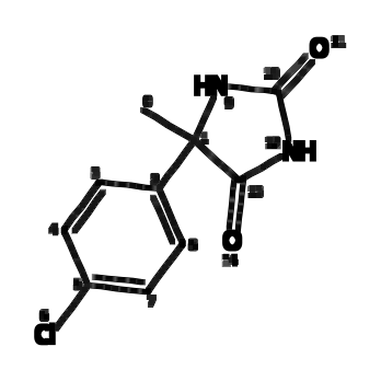 CC1(c2ccc(Cl)cc2)NC(=O)NC1=O